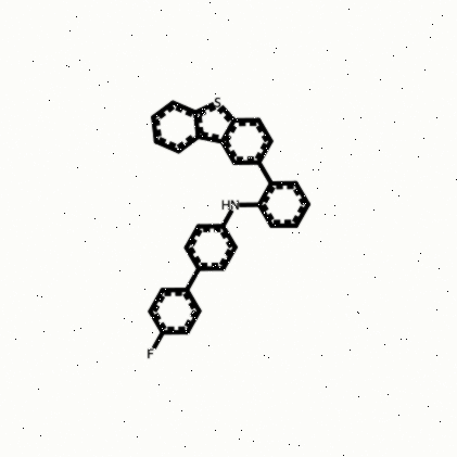 Fc1ccc(-c2ccc(Nc3ccccc3-c3ccc4sc5ccccc5c4c3)cc2)cc1